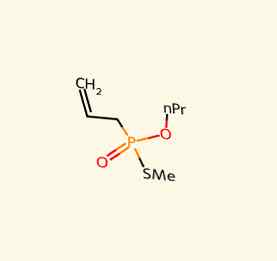 C=CCP(=O)(OCCC)SC